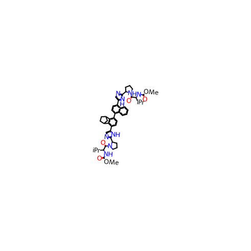 COC(=O)NC(C(=O)N1CCCC1c1ncc(-c2ccc(-c3ccc(-c4cnc(C5CCCN5C(=O)C(NC(=O)OC)C(C)C)[nH]4)c4ccccc34)c3c2C2CCC3C2)[nH]1)C(C)C